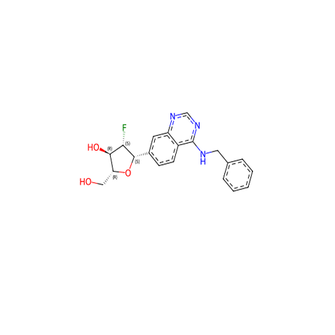 OC[C@H]1O[C@@H](c2ccc3c(NCc4ccccc4)ncnc3c2)[C@@H](F)[C@@H]1O